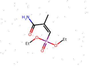 CCOP(=O)(C=C(C)C(N)=O)OCC